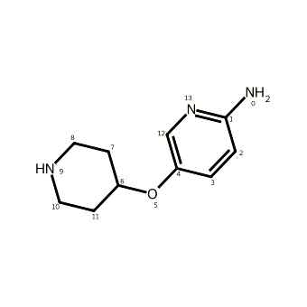 Nc1ccc(OC2CCNCC2)cn1